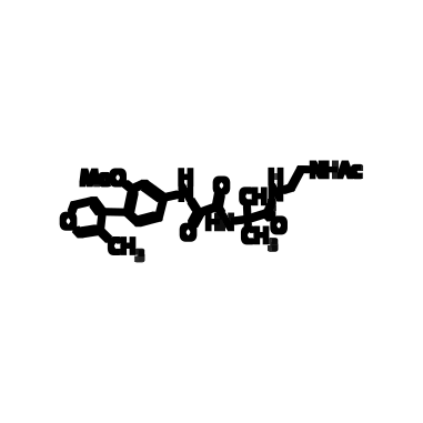 COc1cc(NC(=O)C(=O)NC(C)(C)C(=O)NCCNC(C)=O)ccc1C1=CCOC=C1C